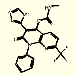 CNC(=O)Oc1c(-c2nnc[nH]2)c(=O)n(-c2ccccc2)c2nc(C(F)(F)F)ccc12